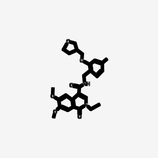 CCn1cc(C(=O)NCc2ccc(C)cc2OCC2CCOC2)c2cc(OC)c(OC)cc2c1=O